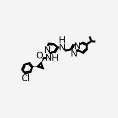 CC(C)c1ccc2nc(CNc3ccnc(NC(=O)[C@H]4C[C@@H]4c4cccc(Cl)c4)c3)cn2c1